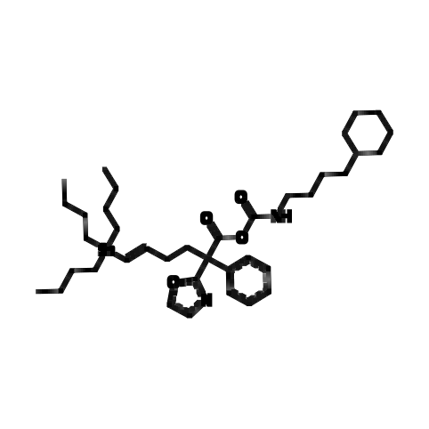 CCC[CH2][Sn]([CH]=CCCC(C(=O)OC(=O)NCCCCC1CCCCC1)(c1ccccc1)c1ncco1)([CH2]CCC)[CH2]CCC